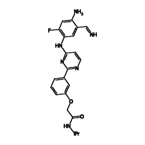 CC(C)NC(=O)COc1cccc(-c2nccc(Nc3cc(C=N)c(N)cc3F)n2)c1